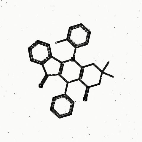 Cc1ccccc1N1C2=C(C(=O)CC(C)(C)C2)C(c2ccccc2)C2=C1c1ccccc1C2=O